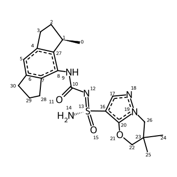 C[C@@H]1CCc2cc3c(c(NC(=O)N=[S@](N)(=O)c4cnn5c4OCC(C)(C)C5)c21)CCC3